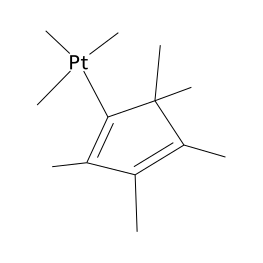 CC1=C(C)C(C)(C)[C]([Pt]([CH3])([CH3])[CH3])=C1C